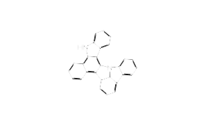 C1=CC2c3c(c4c5ccccc5[nH]c4c4ccccc34)N3c4ccccc4C(=C1)C23